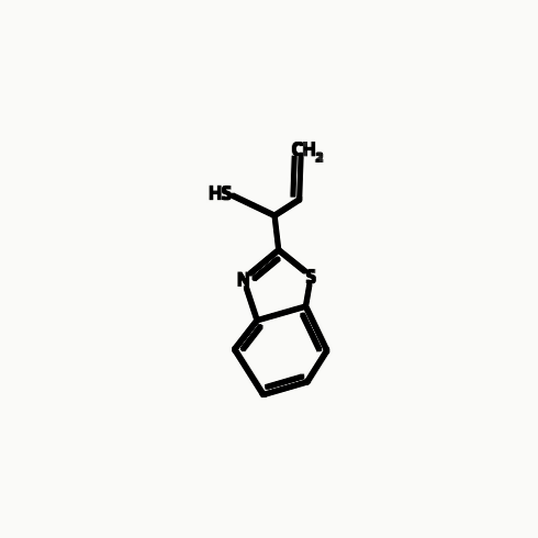 C=CC(S)c1nc2ccccc2s1